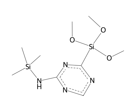 CO[Si](OC)(OC)c1ncnc(N[Si](C)(C)C)n1